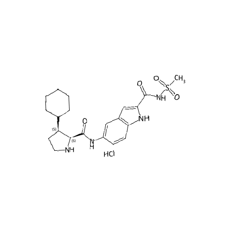 CS(=O)(=O)NC(=O)c1cc2cc(NC(=O)[C@H]3NCC[C@H]3C3CCCCC3)ccc2[nH]1.Cl